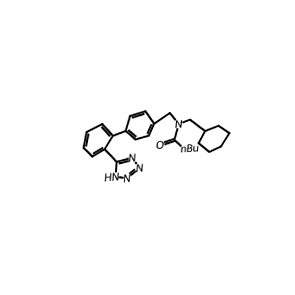 CCCCC(=O)N(Cc1ccc(-c2ccccc2-c2nnn[nH]2)cc1)CC1CCCCC1